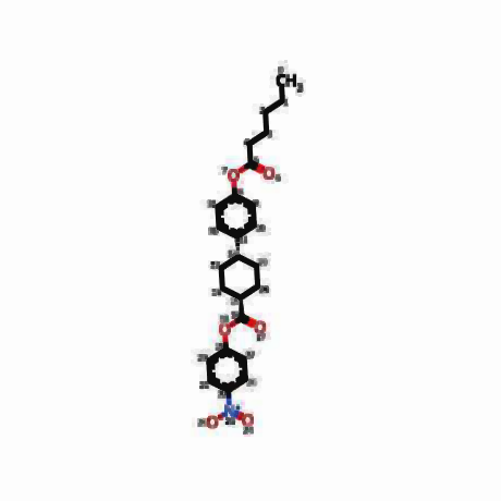 CCCCCC(=O)Oc1ccc([C@H]2CC[C@H](C(=O)Oc3ccc([N+](=O)[O-])cc3)CC2)cc1